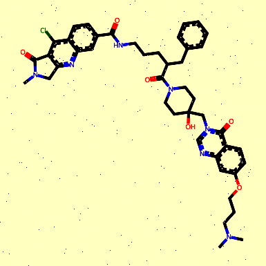 CN(C)CCCOc1ccc2c(=O)n(CC3(O)CCN(C(=O)C(CCCNC(=O)c4ccc5c(Cl)c6c(nc5c4)CN(C)C6=O)Cc4ccccc4)CC3)cnc2c1